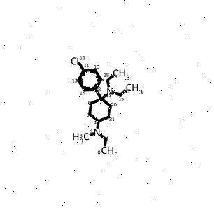 CCN(C)C1CCC(c2ccc(Cl)cc2)(N(CC)CC)CC1